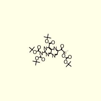 C[C@H](OC(=O)OC(C)(C)C)C(=O)c1cnc2nc(N(C(=O)OC(C)(C)C)C(=O)OC(C)(C)C)nc(C(=O)OC(C)(C)C)c2n1